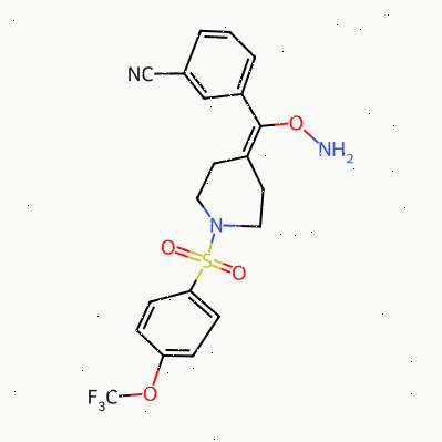 N#Cc1cccc(C(ON)=C2CCN(S(=O)(=O)c3ccc(OC(F)(F)F)cc3)CC2)c1